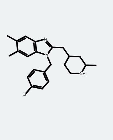 Cc1cc2nc(CC3CCNC(C)C3)n(Cc3ccc(Cl)cc3)c2cc1C